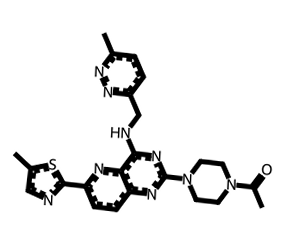 CC(=O)N1CCN(c2nc(NCc3ccc(C)nn3)c3nc(-c4ncc(C)s4)ccc3n2)CC1